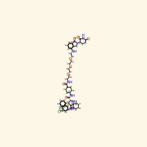 O=C1CCC(N2Cc3c(NCCOCCOCCOCCNC(=O)C4CCC(NC(=O)[C@@H]5NC6(CCCCC6)[C@@]6(C(=O)Nc7cc(Cl)ccc76)[C@H]5c5cccc(F)c5)CC4)cccc3C2=O)C(=O)N1